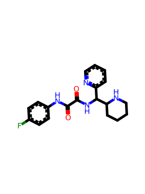 O=C(Nc1ccc(F)cc1)C(=O)NC(c1ccccn1)C1CCCCN1